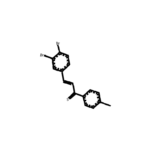 Cc1ccc(C(=S)C=Cc2ccc(Br)c(Br)c2)cc1